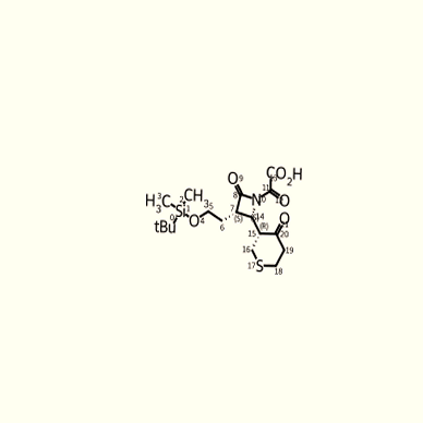 CC(C)(C)[Si](C)(C)OCC[C@@H]1C(=O)N(C(=O)C(=O)O)[C@@H]1[C@H]1CSCCC1=O